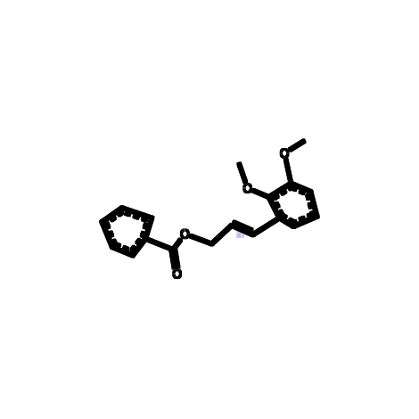 COc1cccc(/C=C/COC(=O)c2ccccc2)c1OC